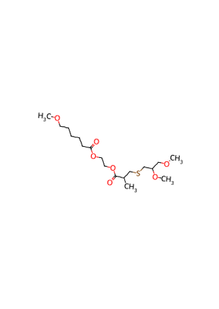 COCCCCCC(=O)OCCOC(=O)C(C)CSCC(COC)OC